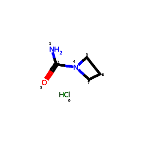 Cl.NC(=O)N1CCC1